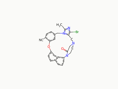 Cc1nc(Br)c2n1Cc1ccc(C#N)c(c1)Oc1ccc3cccc(c3c1)N1CCN(CC1=O)C2